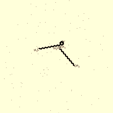 CCCCCCCCCCCCCCCC[N+](C)(C)C(CCCCCCCCCCCCCC)c1ccccc1.[Br-]